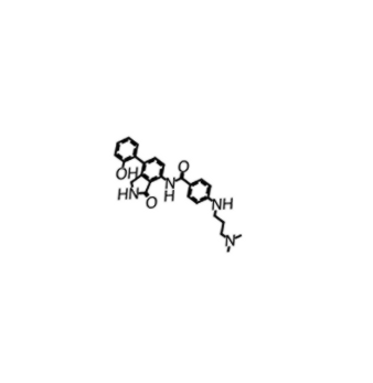 CN(C)CCCNc1ccc(C(=O)Nc2ccc(-c3ccccc3O)c3c2C(=O)NC3)cc1